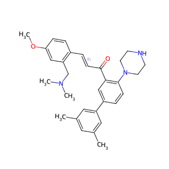 COc1ccc(/C=C/C(=O)c2cc(-c3cc(C)cc(C)c3)ccc2N2CCNCC2)c(CN(C)C)c1